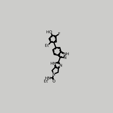 CCNC(=O)N1Cc2nc(-c3n[nH]c4cc(-c5cc(F)c(O)cc5CC)ccc34)[nH]c2C1